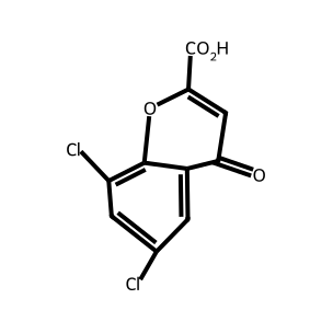 O=C(O)c1cc(=O)c2cc(Cl)cc(Cl)c2o1